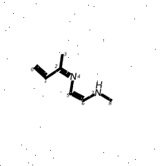 C=C/C(C)=N\C=C/NC